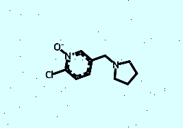 [O-][n+]1cc(CN2CCCC2)ccc1Cl